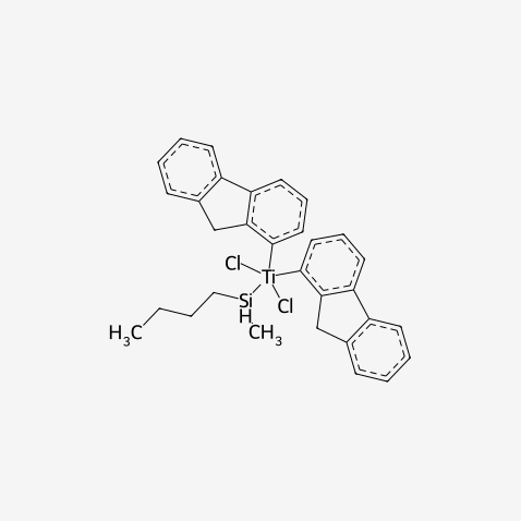 CCCC[SiH](C)[Ti]([Cl])([Cl])([c]1cccc2c1Cc1ccccc1-2)[c]1cccc2c1Cc1ccccc1-2